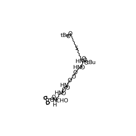 CC(C)(C)OC(=O)CCCCCCCCSCCCCCCCC(=O)NC(CCC(=O)NCCCOCCOCCOCCCNC(=O)COCC(=O)NCCCCC(C=O)NC(=O)OCC1c2ccccc2-c2ccccc21)C(=O)OC(C)(C)C